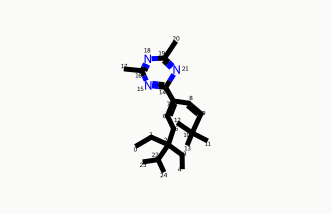 CCC(CC)(C/C=C(\C=C/C(C)(C)C)c1nc(C)nc(C)n1)C(C)C